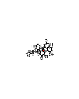 O=C(c1cc(=O)[nH]c2ccc(O)cc12)N1CCNCC1(C(=O)NCC1CCO1)c1ccc(Cl)c(Cl)c1